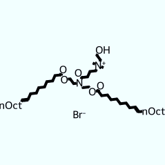 CCCCCCCCC=CCCCCCCCC(=O)OCCN(CCOC(=O)CCCCCCCC=CCCCCCCCC)C(=O)CCC[N+](C)(C)CCO.[Br-]